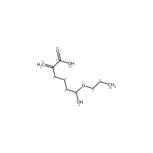 C=C(CCCC(O)OCCC)C(=O)O